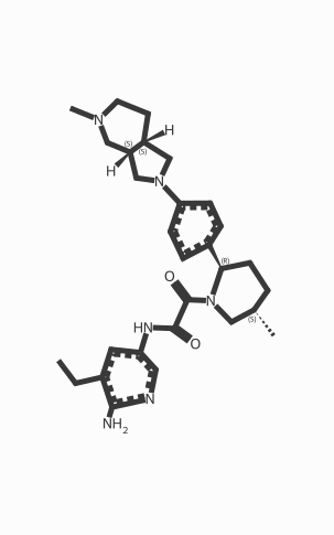 CCc1cc(NC(=O)C(=O)N2C[C@@H](C)CC[C@@H]2c2ccc(N3C[C@H]4CCN(C)C[C@H]4C3)cc2)cnc1N